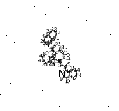 CC1(C)c2ccc(-c3nccc4ccccc34)cc2-c2sc3c(c2-c2cc(-c4nccc5ccccc45)ccc21)CCC=C3